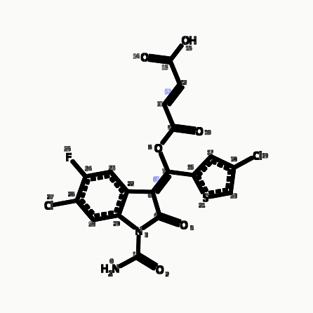 NC(=O)N1C(=O)/C(=C(/OC(=O)/C=C/C(=O)O)c2cc(Cl)cs2)c2cc(F)c(Cl)cc21